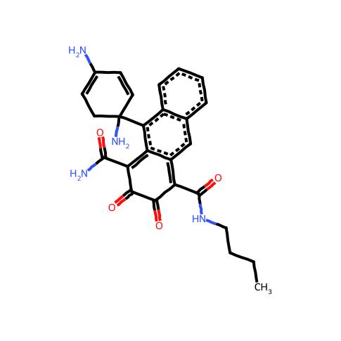 CCCCNC(=O)C1=c2cc3ccccc3c(C3(N)C=CC(N)=CC3)c2=C(C(N)=O)C(=O)C1=O